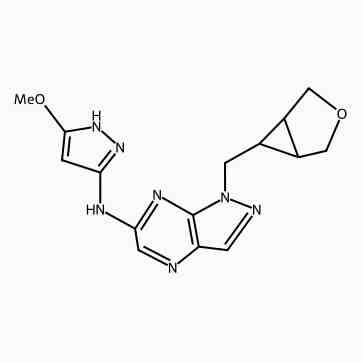 COc1cc(Nc2cnc3cnn(CC4C5COCC54)c3n2)n[nH]1